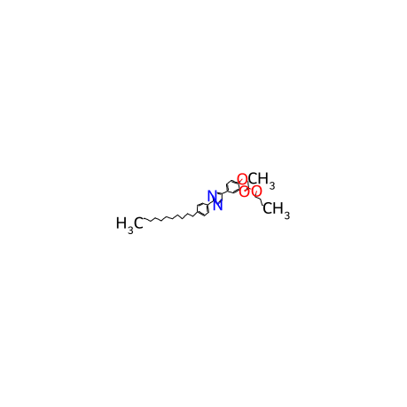 CCCCCCCCCCCc1ccc(-c2ncc(-c3ccc(OC(C)C(=O)OCCCC)cc3)cn2)cc1